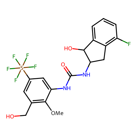 COc1c(CO)cc(S(F)(F)(F)(F)F)cc1NC(=O)NC1Cc2c(F)cccc2C1O